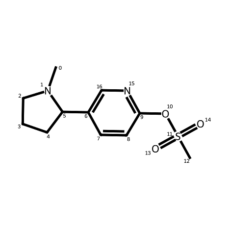 CN1CCCC1c1ccc(OS(C)(=O)=O)nc1